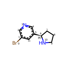 Brc1cncc([C@H]2CCCN2)c1